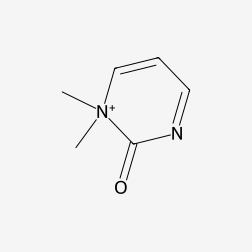 C[N+]1(C)C=CC=NC1=O